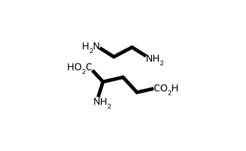 NC(CCC(=O)O)C(=O)O.NCCN